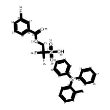 Cc1ccccc1[S+](c1ccccc1)c1ccccc1.O=C(OCC(F)(F)S(=O)(=O)O)c1cccc(F)c1